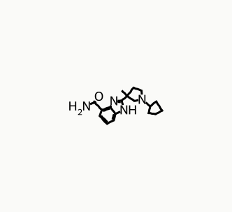 CC1(c2nc3c(C(N)=O)cccc3[nH]2)CCN(C2CCCC2)C1